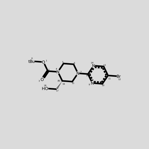 CC(C)(C)OC(=O)N1CCN(c2ncc(Br)cn2)C[C@@H]1CO